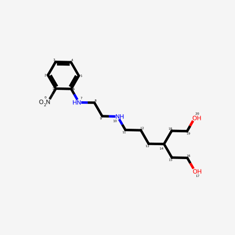 O=[N+]([O-])c1ccccc1NCCNCCCC(CCO)CCO